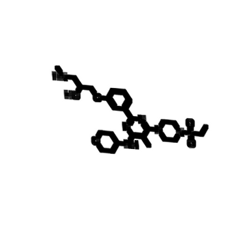 CCS(=O)(=O)N1CCN(c2nc(-c3cccc(OCC(O)CNC)c3)nc(NC3CCOCC3)c2C)CC1